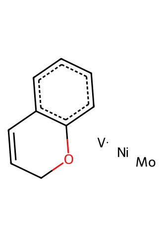 C1=Cc2ccccc2OC1.[Mo].[Ni].[V]